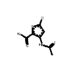 CC(=O)Nc1cc(Cl)sc1C(=O)O